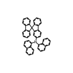 c1ccc2c(c1)-c1ccccc1C21c2ccccc2-c2ccc(N(c3cccc4ccccc34)c3cccc4ccccc34)cc21